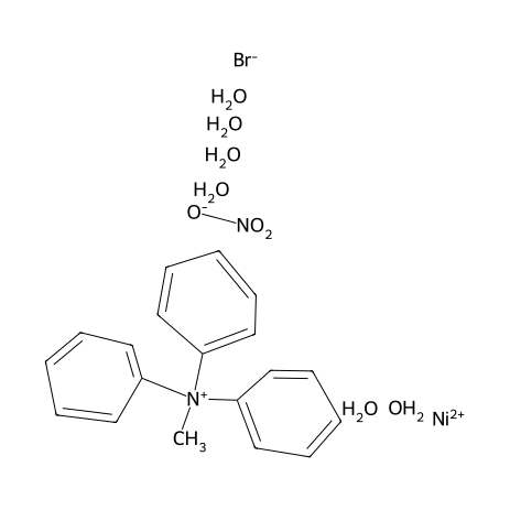 C[N+](c1ccccc1)(c1ccccc1)c1ccccc1.O.O.O.O.O.O.O=[N+]([O-])[O-].[Br-].[Ni+2]